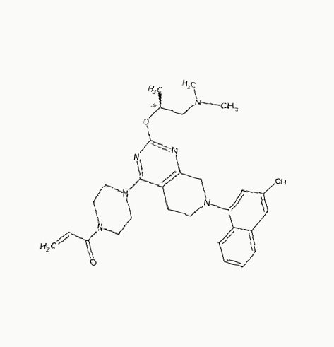 C=CC(=O)N1CCN(c2nc(O[C@@H](C)CN(C)C)nc3c2CCN(c2cc(O)cc4ccccc24)C3)CC1